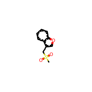 CS(=O)(=O)Cc1coc2ccccc12